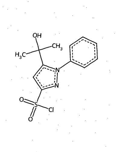 CC(C)(O)c1cc(S(=O)(=O)Cl)nn1-c1ccccc1